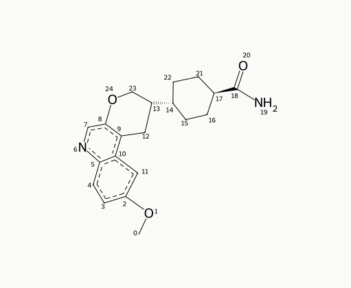 COc1ccc2ncc3c(c2c1)CC([C@H]1CC[C@H](C(N)=O)CC1)CO3